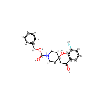 O=C1CC2(CCN(C(=O)OCc3ccccc3)CC2)Oc2c(F)cccc21